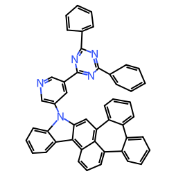 c1ccc(-c2nc(-c3ccccc3)nc(-c3cncc(-n4c5ccccc5c5c6cccc7c6c(cc54)-c4ccccc4-c4ccccc4-7)c3)n2)cc1